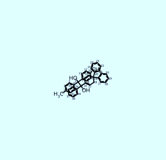 Cc1ccc(C(O)(c2ccc(C)cc2)C(O)(C2=CCC(c3ccccc3)(c3ccccc3)C=C2)c2ccccc2)cc1